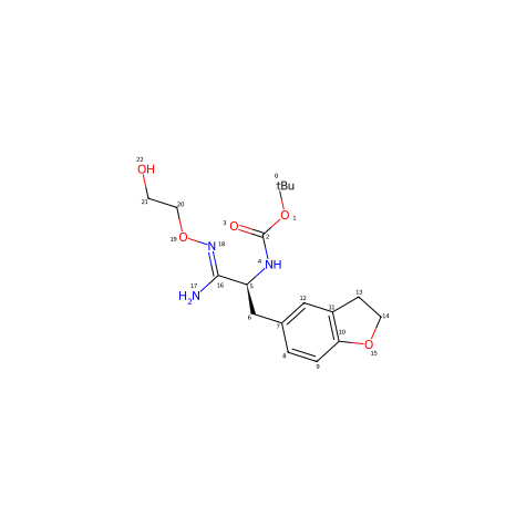 CC(C)(C)OC(=O)N[C@@H](Cc1ccc2c(c1)CCO2)/C(N)=N/OCCO